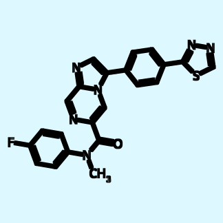 CN(C(=O)c1cn2c(-c3ccc(-c4nncs4)cc3)cnc2cn1)c1ccc(F)cc1